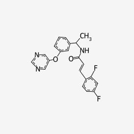 CC(NC(=O)/C=C/c1ccc(F)cc1F)c1cccc(Oc2cncnc2)c1